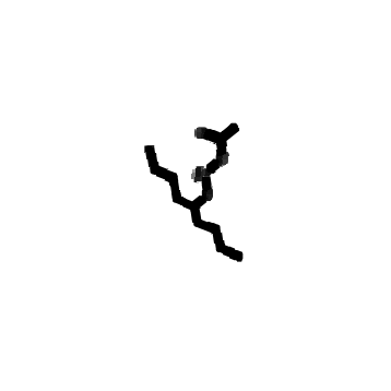 CCCCC(CCCC)[O][Sn][O]C(C)=O